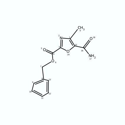 Cc1nc(C(=O)OCc2ccccc2)oc1C(N)=O